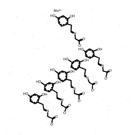 O=C([O-])CN=CCc1ccc(O)cc1O.O=C([O-])CN=CCc1ccc(O)cc1O.O=C([O-])CN=CCc1ccc(O)cc1O.O=C([O-])CN=CCc1ccc(O)cc1O.O=C([O-])CN=CCc1ccc(O)cc1O.O=C([O-])CN=CCc1ccc(O)cc1O.[Mo+6]